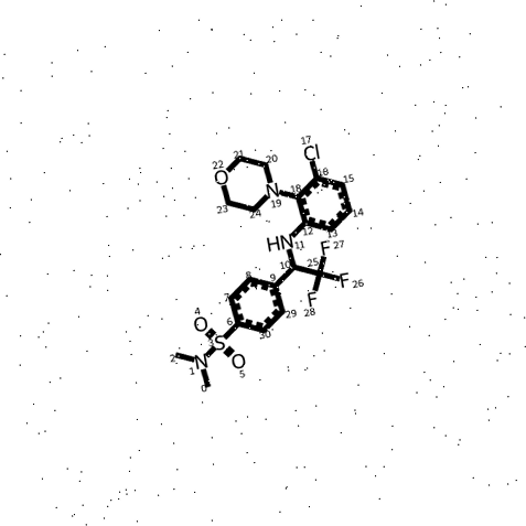 CN(C)S(=O)(=O)c1ccc(C(Nc2cccc(Cl)c2N2CCOCC2)C(F)(F)F)cc1